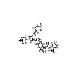 CN1CCN([C@H]2C[C@@H](CO[C@H]3CC[C@H](C)CC3)N(C(=O)Cc3cc(Cl)c(NC(=O)c4cn(C)c5ccccc45)cc3Cl)C2)CC1